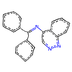 c1ccc(C(=Nc2cnnc3ccccc23)c2ccccc2)cc1